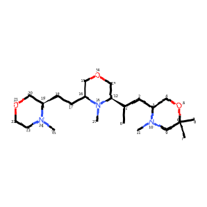 CC(CC1COC(C)(C)CN1C)[C@@H]1COCC(CC[C@@H]2COCCN2C)N1C